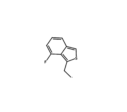 [CH2]Cc1scc2cccc(F)c12